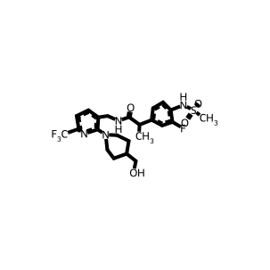 CC(C(=O)NCc1ccc(C(F)(F)F)nc1N1CCC(CO)CC1)c1ccc(NS(C)(=O)=O)c(F)c1